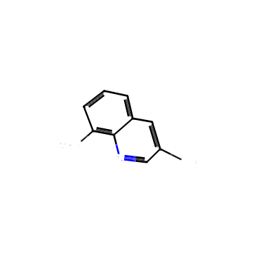 COc1cccc2cc(C(C)(C)C)cnc12